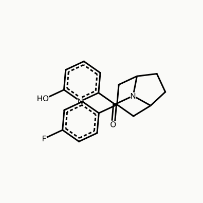 O=C(c1cccc(O)n1)N1C2CCC1CC(c1ccc(F)cc1)C2